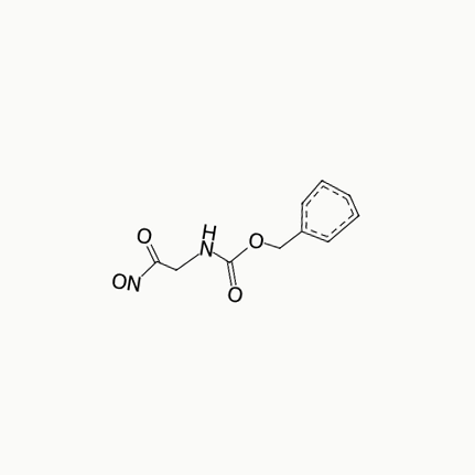 O=NC(=O)CNC(=O)OCc1ccccc1